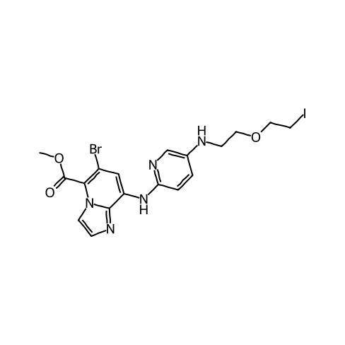 COC(=O)c1c(Br)cc(Nc2ccc(NCCOCCI)cn2)c2nccn12